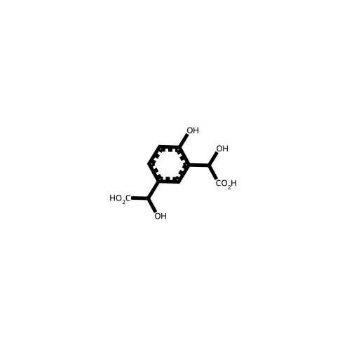 O=C(O)C(O)c1ccc(O)c(C(O)C(=O)O)c1